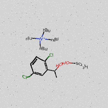 CC(O)c1cc(Cl)ccc1Cl.CCCC[N+](CCCC)(CCCC)CCCC.O=S(=O)(O)O